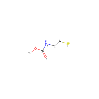 COC(=O)NCCS